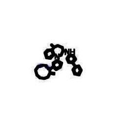 C=C1CCCCC/C=C\C=C/1c1cccc(N2CC(Nc3ccc(-c4ccccc4)cc3)CCC(C)c3ccccc32)c1